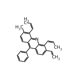 C=Cc1ccc2c(-c3ccccc3)c3ccc(C)c(/C=C\C)c3nc2c1/C=C\C